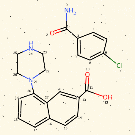 NC(=O)c1ccc(Cl)cc1.O=C(O)c1ccc2cccc(N3CCNCC3)c2c1